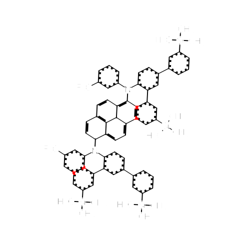 C[Si](C)(C)c1cccc(-c2ccc(N(C3=C4C=CC5=C6C(=CC=C(C=C3)C46)C(N(c3cccc(C(F)(F)F)c3)c3ccc(-c4cccc([Si](C)(C)C)c4)cc3-c3cccc([Si](C)(C)C)c3)C=C5)c3cccc(C(F)(F)F)c3)c(-c3cccc([Si](C)(C)C)c3)c2)c1